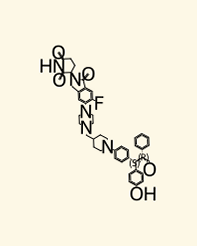 O=C1CCC(N2Cc3cc(N4CCN(CC5CCN(c6ccc([C@H]7c8ccc(O)cc8OC[C@H]7c7ccccc7)cc6)CC5)CC4)c(F)cc3C2=O)C(=O)N1